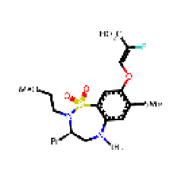 COCCN1[C@H](C(C)C)CN(C(C)(C)C)c2cc(SC)c(O/C=C(\F)C(=O)O)cc2S1(=O)=O